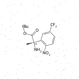 CC(C)(C)OC(=O)[C@@](C)(N)c1cc(C(F)(F)F)ccc1[N+](=O)[O-]